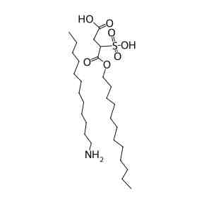 CCCCCCCCCCCCN.CCCCCCCCCCCCOC(=O)C(CC(=O)O)S(=O)(=O)O